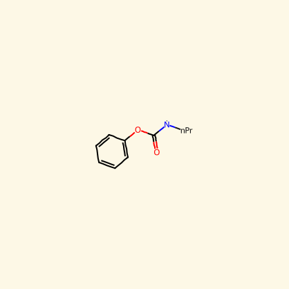 CCC[N]C(=O)Oc1ccccc1